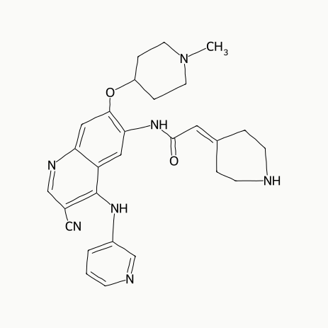 CN1CCC(Oc2cc3ncc(C#N)c(Nc4cccnc4)c3cc2NC(=O)C=C2CCNCC2)CC1